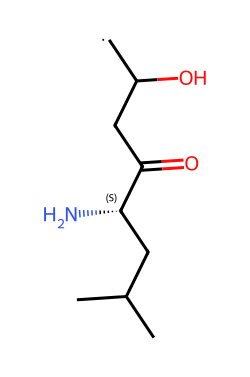 [CH2]C(O)CC(=O)[C@@H](N)CC(C)C